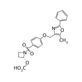 Cc1oc(-c2ccccc2)nc1COc1ccc(S(=O)(=O)N2CC[C@H]2OC(=O)O)cc1